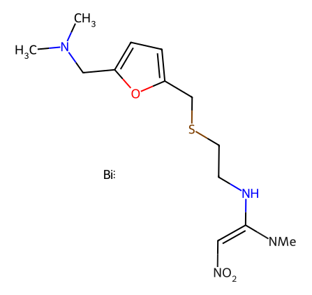 CNC(=C[N+](=O)[O-])NCCSCc1ccc(CN(C)C)o1.[Bi]